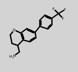 NCC1CCOc2cc(-c3ccc(C(F)(F)F)cc3)ccc21